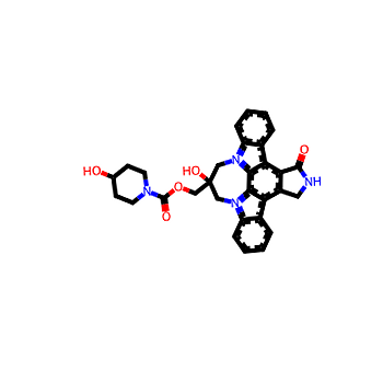 O=C1NCc2c1c1c3ccccc3n3c1c1c2c2ccccc2n1CC(O)(COC(=O)N1CCC(O)CC1)C3